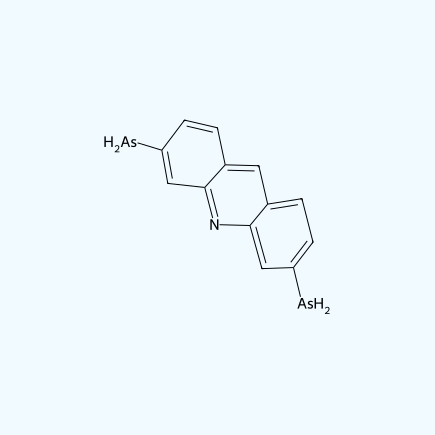 [AsH2]c1ccc2cc3ccc([AsH2])cc3nc2c1